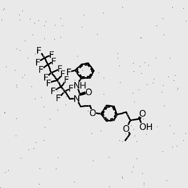 CCOC(Cc1ccc(OCCN(CC(F)(F)C(F)(F)C(F)(F)C(F)(F)C(F)(F)C(F)(F)F)C(=O)Nc2ccccc2F)cc1)C(=O)O